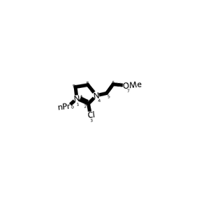 CCC[N+]1=C(Cl)N(CCOC)CC1